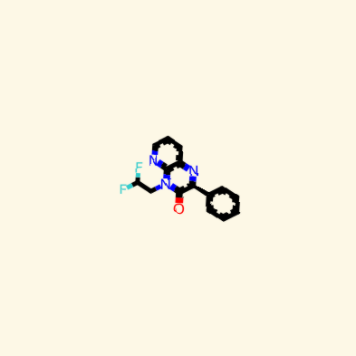 O=c1c(-c2ccccc2)nc2cccnc2n1CC(F)F